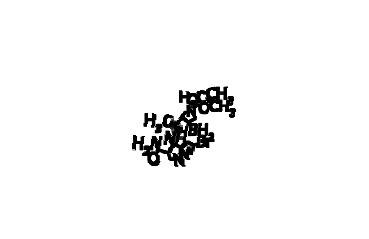 BC12C[C@@H](Nc3c(C(N)=O)cnn4cc(Br)cc34)[C@H](C)C1CN(C(=O)OC(C)(C)C)C2